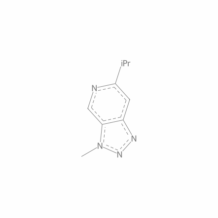 CC(C)c1cc2nnn(C)c2cn1